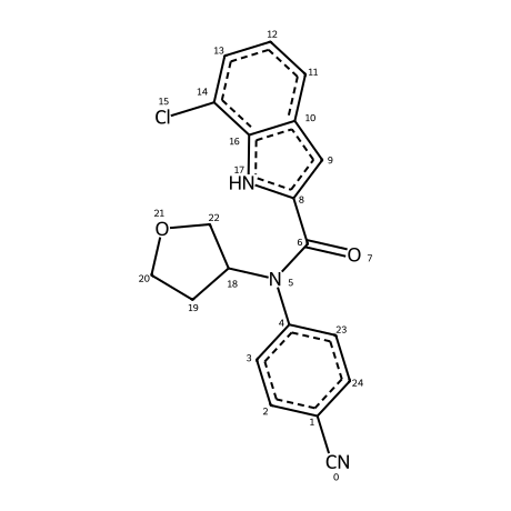 N#Cc1ccc(N(C(=O)c2cc3cccc(Cl)c3[nH]2)C2CCOC2)cc1